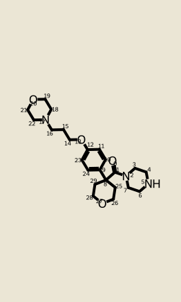 O=C(N1CCNCC1)C1(c2ccc(OCCCN3CCOCC3)cc2)CCOCC1